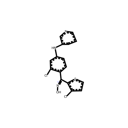 O/N=C(/c1ccc(Nc2cccnc2)cc1Cl)c1sccc1Cl